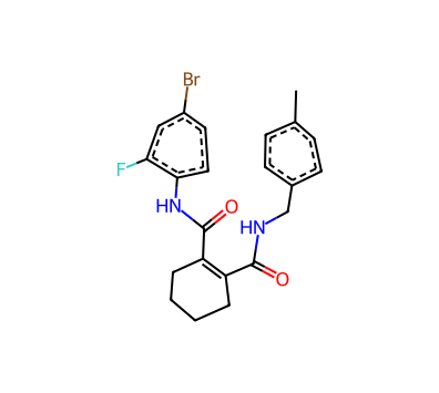 Cc1ccc(CNC(=O)C2=C(C(=O)Nc3ccc(Br)cc3F)CCCC2)cc1